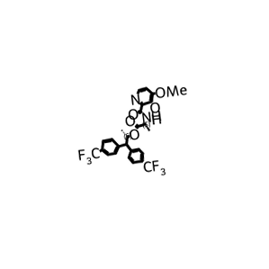 COc1ccnc(C(=O)N[C@@H](C)C(=O)O[C@@H](C)C(c2ccc(C(F)(F)F)cc2)c2ccc(C(F)(F)F)cc2)c1O